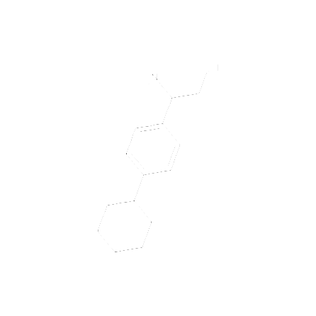 NC(CS)c1ccc(C2CCCCC2)cc1